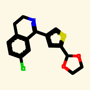 Clc1ccc2c(c1)C(c1csc(C3OCCO3)c1)=NCC2